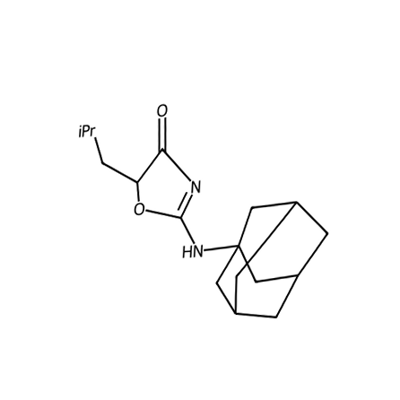 CC(C)CC1OC(NC23CC4CC(CC(C4)C2)C3)=NC1=O